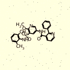 COc1ncc(NC(=O)c2cccnc2-c2ccccc2)cc1S(=O)(=O)Nc1c(C)cccc1C